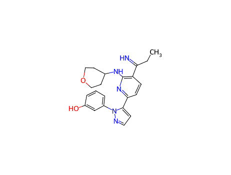 CCC(=N)c1ccc(-c2ccnn2-c2cccc(O)c2)nc1NC1CCOCC1